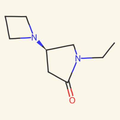 CCN1C[C@H](N2CCC2)CC1=O